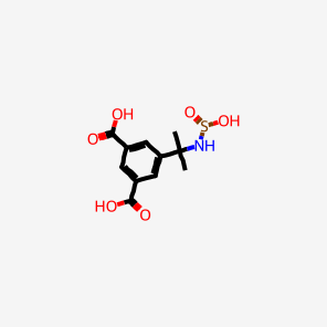 CC(C)(NS(=O)O)c1cc(C(=O)O)cc(C(=O)O)c1